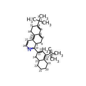 CC(C)(C)C1=CC2=CCC3C(C4=CC([Si](C)(C)C)=C5CCCCC5C4)=NC=CC3=C2CC1